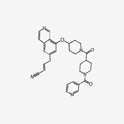 N#C/C=C/Cc1cc(OC2CCN(C(=O)C3CCN(C(=O)c4cccnc4)CC3)CC2)c2cnccc2c1